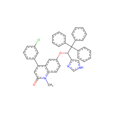 Cn1c(=O)cc(-c2cccc(Cl)c2)c2cc(OC(c3c[nH]cn3)C(c3ccccc3)(c3ccccc3)c3ccccc3)ccc21